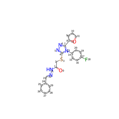 O=C(CSc1nnc(-c2ccco2)n1-c1ccc(F)cc1)NN=Cc1ccccc1